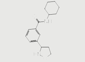 O=C(NC1CCCCC1)c1cccc(C2CCON2)c1